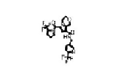 O=C(NCc1ccc(C(F)(F)F)nc1)c1cc(C(=O)N2CCCC2C(F)(F)F)n2c1COCC2